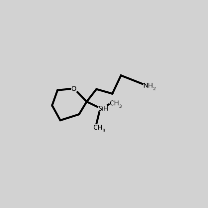 C[SiH](C)C1(CCCN)CCCCO1